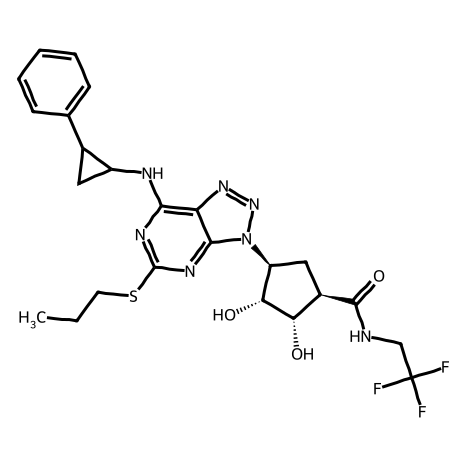 CCCSc1nc(NC2CC2c2ccccc2)c2nnn([C@H]3C[C@@H](C(=O)NCC(F)(F)F)[C@H](O)[C@@H]3O)c2n1